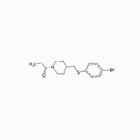 CCC(=O)N1CCC(CSc2ccc(Br)cc2)CC1